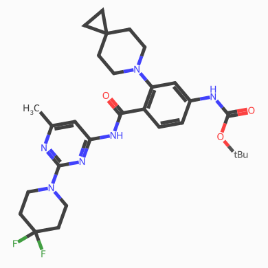 Cc1cc(NC(=O)c2ccc(NC(=O)OC(C)(C)C)cc2N2CCC3(CC2)CC3)nc(N2CCC(F)(F)CC2)n1